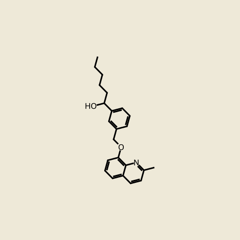 CCCCCC(O)c1cccc(COc2cccc3ccc(C)nc23)c1